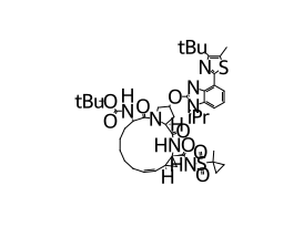 Cc1sc(-c2cccc3c2nc(O[C@@H]2C[C@H]4C(=O)N[C@]5(C(=O)NS(=O)(=O)C6(C)CC6)C[C@H]5/C=C\CCCCC[C@H](NC(=O)OC(C)(C)C)C(=O)N4C2)n3C(C)C)nc1C(C)(C)C